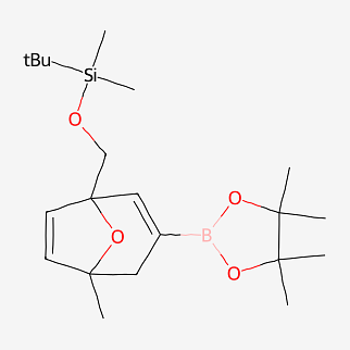 CC12C=CC(CO[Si](C)(C)C(C)(C)C)(C=C(B3OC(C)(C)C(C)(C)O3)C1)O2